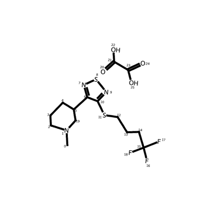 CN1CCCC(c2nsnc2SCCCC(F)(F)F)C1.O=C(O)C(=O)O